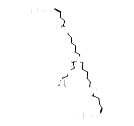 CCCCCC/C=C\CCC(=O)OCCCCCCN(CCCCCCOC(=O)CC/C=C\CCCCCC)C(=O)CSCCN(C)C